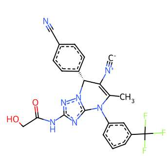 [C-]#[N+]C1=C(C)N(c2cccc(C(F)(F)F)c2)c2nc(NC(=O)CO)nn2[C@@H]1c1ccc(C#N)cc1